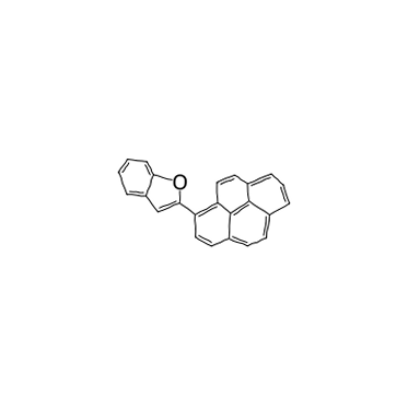 c1ccc2oc(-c3ccc4ccc5cccc6ccc3c4c56)cc2c1